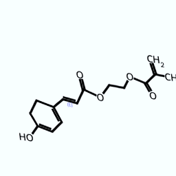 C=C(C)C(=O)OCCOC(=O)/C=C/C1=CC=C(O)CC1